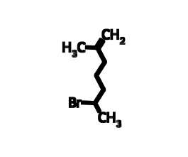 C=C(C)CCCC(C)Br